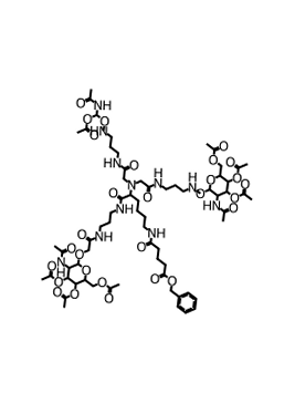 CC(=O)NC(ONCCCNC(=O)CN(CC(=O)NCCCNOC1OC(COC(C)=O)C(OC(C)=O)C(OC(C)=O)C1NC(C)=O)C(CCCCNC(=O)CCCC(=O)OCc1ccccc1)C(=O)NCCCNC(=O)COC1OC(COC(C)=O)C(OC(C)=O)C(OC(C)=O)C1NC(C)=O)OC(C)=O